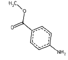 [CH2]OC(=O)c1ccc(N)cc1